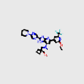 CCOc1cc(-c2cc(N(C)CC3(COC)CCC3)c3[nH]c(-c4cnc(N5CCCCC5)cn4)nc3n2)cc(C(F)(F)F)n1